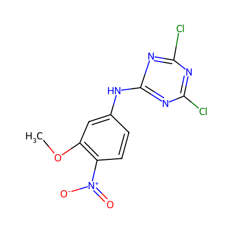 COc1cc(Nc2nc(Cl)nc(Cl)n2)ccc1[N+](=O)[O-]